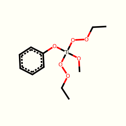 CCO[O][Ti]([O]C)([O]OCC)[O]c1ccccc1